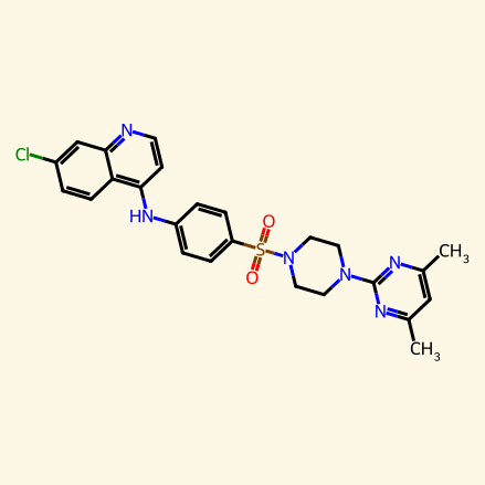 Cc1cc(C)nc(N2CCN(S(=O)(=O)c3ccc(Nc4ccnc5cc(Cl)ccc45)cc3)CC2)n1